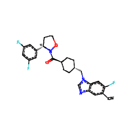 N#Cc1cc2ncn(C[C@H]3CC[C@H](C(=O)N4OCC[C@H]4c4cc(F)cc(F)c4)CC3)c2cc1F